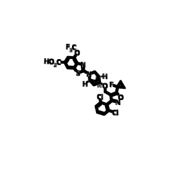 O=C(O)c1cc(OC(F)(F)F)c2nc(N3C[C@@H]4C[C@H]3C[C@H]4OCc3c(-c4c(Cl)cccc4Cl)noc3C3(F)CC3)sc2c1